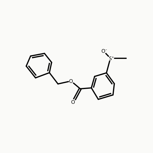 C[S+]([O-])c1cccc(C(=O)OCc2ccccc2)c1